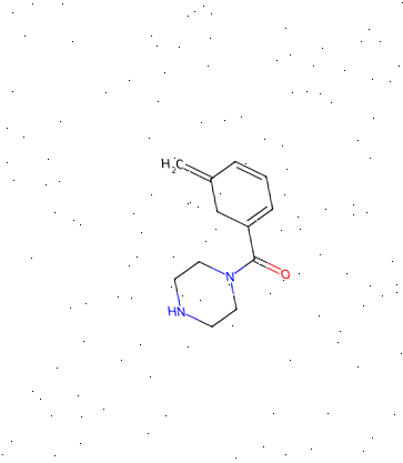 C=C1C=CC=C(C(=O)N2CCNCC2)C1